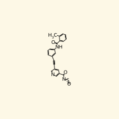 Cc1ccccc1C(=O)Nc1cccc(C#Cc2cncc(C(=O)N=S=O)c2)c1